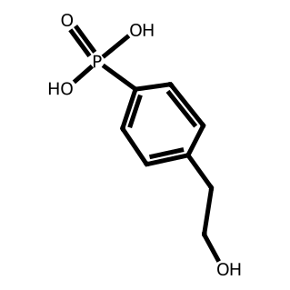 O=P(O)(O)c1ccc(CCO)cc1